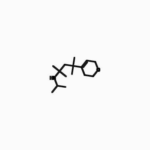 CC(C)NC(C)(C)CC(C)(C)C1=CCOCC1